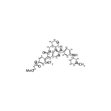 COCCS(=O)(=O)c1ccc(-c2cc3cnc(Nc4ccc(NC5CCCN(C)C5)cc4)nc3n(CC3CCOCC3)c2=O)c(C(F)(F)F)c1